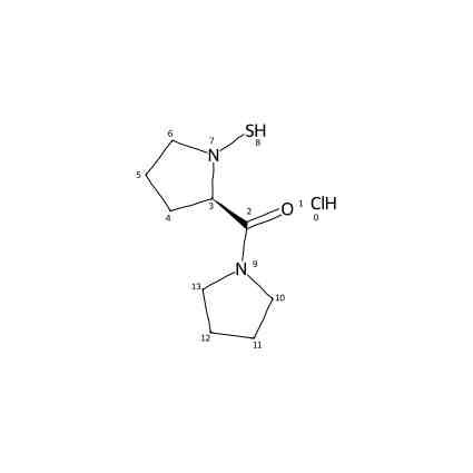 Cl.O=C([C@H]1CCCN1S)N1CCCC1